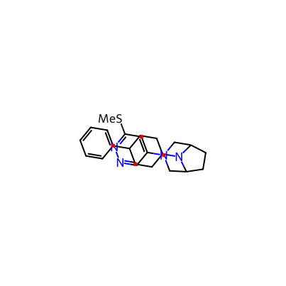 CSc1cc(N2CC3CCC(C2)N3C2CCC(c3ccccc3)CC2)cnn1